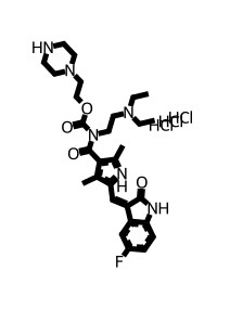 CCN(CC)CCN(C(=O)OCCN1CCNCC1)C(=O)c1c(C)[nH]c(C=C2C(=O)Nc3ccc(F)cc32)c1C.Cl.Cl.Cl